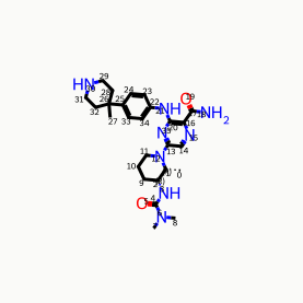 C[C@@H]1[C@H](NC(=O)N(C)C)CCCN1c1cnc(C(N)=O)c(Nc2ccc(C3(C)CCNCC3)cc2)n1